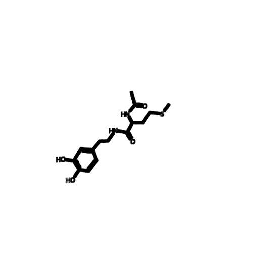 CSCCC(NC(C)=O)C(=O)NCCc1ccc(O)c(O)c1